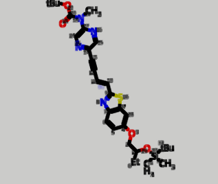 CCC(COc1ccc2nc(/C=C/C#Cc3cnc(N(C)C(=O)OC(C)(C)C)cn3)sc2c1)O[Si](C)(C)C(C)(C)C